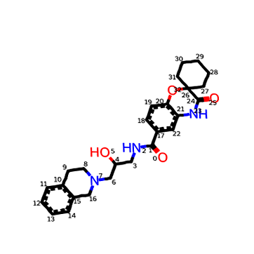 O=C(NCC(O)CN1CCc2ccccc2C1)c1ccc2c(c1)NC(=O)C1(CCCCC1)O2